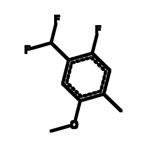 COc1cc(C(F)F)c(F)cc1C